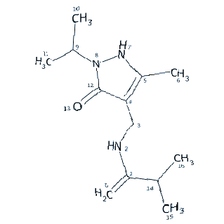 C=C(NCc1c(C)[nH]n(C(C)C)c1=O)C(C)C